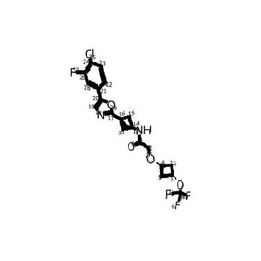 O=C(CO[C@H]1C[C@@H](OC(F)(F)F)C1)NC12CC(c3ncc(-c4ccc(Cl)c(F)c4)o3)(C1)C2